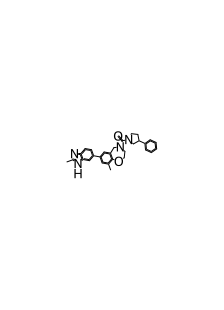 Cc1nc2ccc(-c3cc(C)c4c(c3)CN(C(=O)N3CCC(c5ccccc5)C3)CCO4)cc2[nH]1